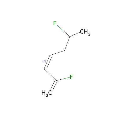 C=C(F)/C=C\CC(C)F